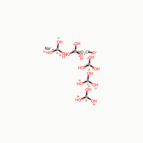 O=C([O-])O.OB(O)O.OB(O)O.OB(O)O.OB(O)O.OB(O)O.[Na+]